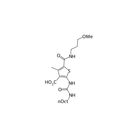 CCCCCCCCNC(=O)Nc1sc(C(=O)NCCCOC)c(C)c1C(=O)O